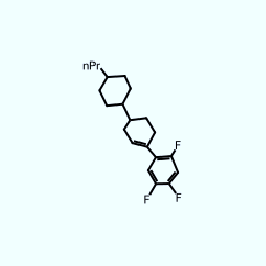 CCCC1CCC(C2CC=C(c3cc(F)c(F)cc3F)CC2)CC1